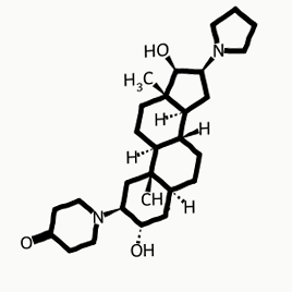 C[C@]12C[C@H](N3CCC(=O)CC3)[C@@H](O)C[C@@H]1CC[C@@H]1[C@@H]2CC[C@]2(C)[C@@H](O)[C@@H](N3CCCC3)C[C@@H]12